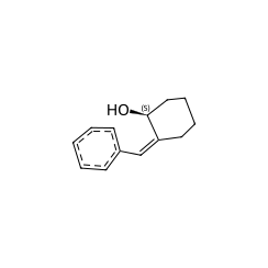 O[C@H]1CCCCC1=Cc1ccccc1